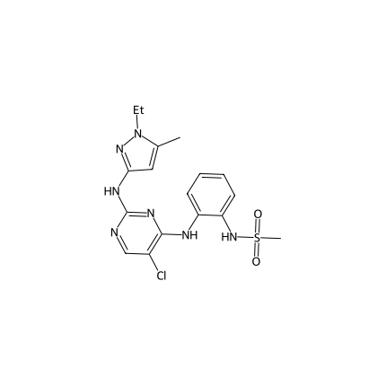 CCn1nc(Nc2ncc(Cl)c(Nc3ccccc3NS(C)(=O)=O)n2)cc1C